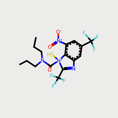 CCCN(CCC)C(=O)[N+]1(S)C(C(F)(F)F)=Nc2cc(C(F)(F)F)cc([N+](=O)[O-])c21